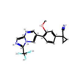 COc1cc(C2(C#N)CC2)ccc1-c1cnc2cnc(C(F)(F)F)n2c1